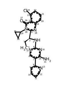 CC[C@H](Nc1ncc(-c2ccccn2)c(N)n1)c1nc2cccc(Cl)c2c(=O)n1C1CC1